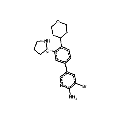 Nc1ncc(-c2ccc(C3CCOCC3)c([C@@H]3CCCN3)c2)cc1Br